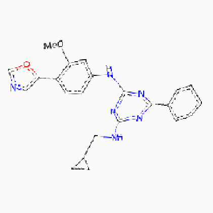 COc1cc(Nc2nc(NCC3CC3)nc(-c3ccccc3)n2)ccc1-c1cnco1